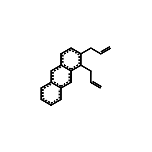 C=CCc1ccc2cc3ccccc3cc2c1CC=C